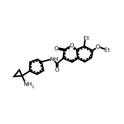 CCOc1ccc2cc(C(=O)Nc3ccc(C4(N)CC4)cc3)c(=O)oc2c1CC